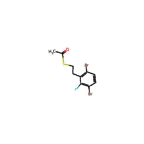 CC(=O)SCCc1c(Br)ccc(Br)c1F